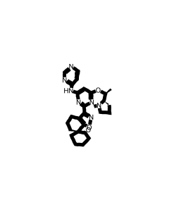 C[C@H](Oc1cc(Nc2ccncn2)nc(-c2noc3c2CCC[C@@]32CCCCC2=O)n1)[C@@H]1CCCN1C